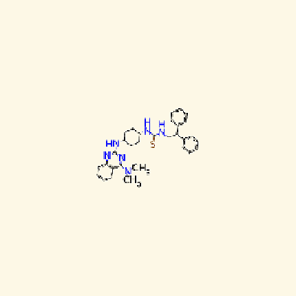 CN(C)c1nc(N[C@H]2CC[C@@H](NC(=S)NCC(c3ccccc3)c3ccccc3)CC2)nc2ccccc12